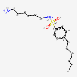 CCCCCCc1ccc(S(=O)(=O)NCCCCCCN)cc1